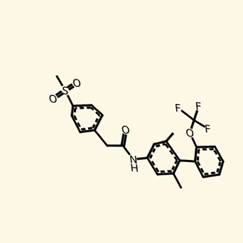 Cc1cc(NC(=O)Cc2ccc(S(C)(=O)=O)cc2)cc(C)c1-c1ccccc1OC(F)(F)F